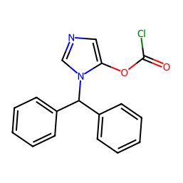 O=C(Cl)Oc1cncn1C(c1ccccc1)c1ccccc1